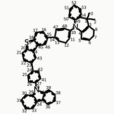 CC1(C)C2=C(C=CCC2)N(C2=CCC=C(c3ccc4sc5ccc(-c6ccc(-n7c8ccccc8c8ccccc87)cc6)cc5c4c3)C=C2)c2ccccc21